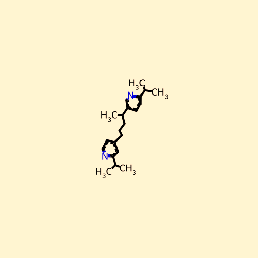 CC(C)c1ccc(C(C)CCCc2ccnc(C(C)C)c2)cn1